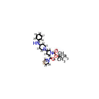 CC(C)(C)OC(=O)N1C[C@@H](N2CCC(Nc3ccccc3)CC2)C[C@H]1C(=O)N1CCSC1